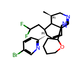 C[C@H]1CN=C2N=NC(C3CCCCO3)C23C=C[C@H](c2ccc(Br)cn2)C(CC(F)F)C13